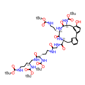 CC(C)(C)OC(=O)NCCC[C@@H](CNC(=O)[C@H](CCCNC(=O)CNC(=O)[C@@H]1Cc2cccc(c2)-c2ccc(O)c(c2)C[C@H](NC(=O)OC(C)(C)C)C(=O)N[C@@H](CCCNC(=O)OC(C)(C)C)C(=O)N1)NC(=O)OC(C)(C)C)NC(=O)OC(C)(C)C